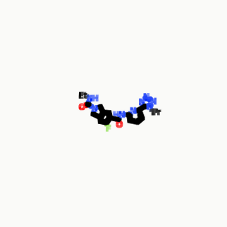 CCNC(=O)N1Cc2cc(F)c(C(=O)Nc3cccc(-c4nnnn4C(C)C)n3)cc2C1